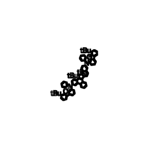 CC(C)(C)c1cccc2c1oc1c(N(c3ccccc3)c3ccc4c5c(ccc4c3)-c3c(c4ccc(N(c6ccccc6)c6cccc7c6oc6c(C(C)(C)C)cccc67)cc4c4ccccc34)C5(C(C)(C)C)C(C)(C)C)cccc12